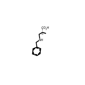 C[C@H](CNCc1ccccc1)C(=O)O